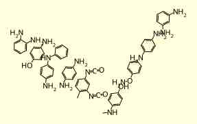 CNc1ccc(O)cc1.Cc1ccc(N=C=O)cc1N=C=O.NOc1ccccc1.Nc1ccc(N)cc1.Nc1ccc(N)cc1.Nc1ccc(Nc2ccccc2)cc1.Nc1ccc(O)cc1.Nc1cccc(N)c1.Nc1ccccc1N